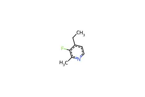 CCc1ccnc(C)c1F